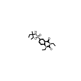 CCn1c(=O)c2cc(S(=O)(=O)NC(C)(CC)CC)ccc2n(CC)c1=O